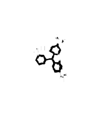 CN(C)c1ccc2c(-c3cc(OC=O)ccc3C(=O)O)c3ccc(=[N+](C)C)cc-3oc2c1